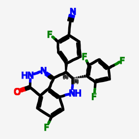 N#Cc1ccc([C@@H]2c3n[nH]c(=O)c4cc(F)cc(c34)N[C@H]2c2c(F)cc(F)cc2F)cc1F